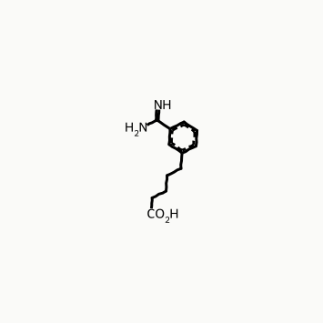 N=C(N)c1cccc(CCCCC(=O)O)c1